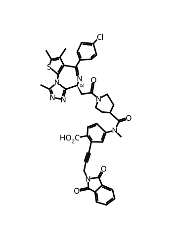 Cc1sc2c(c1C)C(c1ccc(Cl)cc1)=N[C@@H](CC(=O)N1CCC(C(=O)N(C)c3ccc(C(=O)O)c(C#CCN4C(=O)c5ccccc5C4=O)c3)CC1)c1nnc(C)n1-2